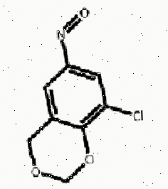 O=Nc1cc(Cl)c2c(c1)COCO2